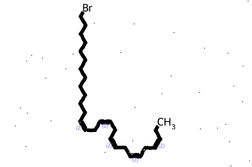 CC/C=C\C/C=C\C/C=C\C/C=C\C/C=C\CCCCCCCCCCCCBr